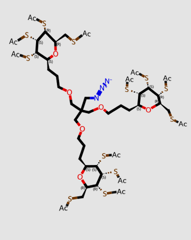 CC(=O)SC[C@H]1O[C@@H](CCCOCC(CN=[N+]=[N-])(COCCC[C@@H]2O[C@H](CSC(C)=O)[C@@H](SC(C)=O)[C@@H](SC(C)=O)[C@H]2SC(C)=O)COCCC[C@@H]2O[C@H](CSC(C)=O)[C@@H](SC(C)=O)[C@@H](SC(C)=O)[C@H]2SC(C)=O)[C@H](SC(C)=O)[C@H](SC(C)=O)[C@@H]1SC(C)=O